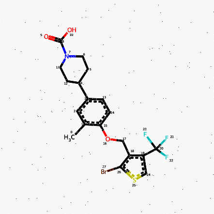 Cc1cc(C2CCN(C(=O)O)CC2)ccc1OCc1c(C(F)(F)F)csc1Br